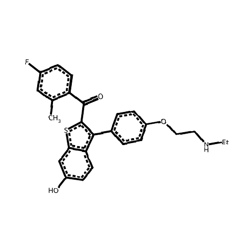 CCNCCOc1ccc(-c2c(C(=O)c3ccc(F)cc3C)sc3cc(O)ccc23)cc1